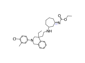 CCOC(=O)/N=C1\CCCCC(NCCC2(CC)CN(c3ccc(Cl)c(C)c3)Cc3ccccc32)C1